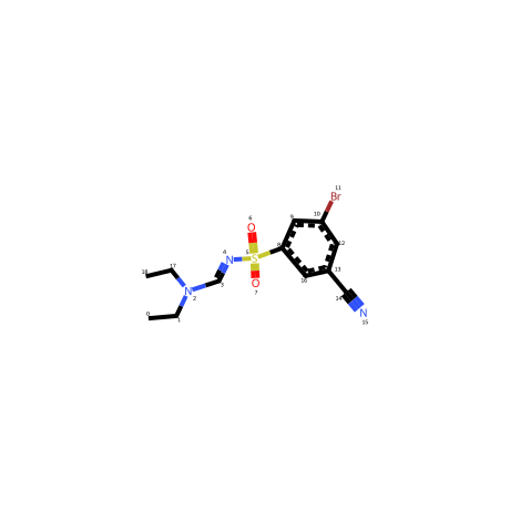 CCN(C=NS(=O)(=O)c1cc(Br)cc(C#N)c1)CC